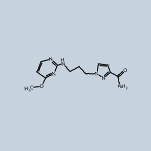 COc1ccnc(NCCCn2c[c]c(C(N)=O)n2)n1